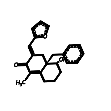 CC1=C2CCC[C@H](O)[C@@]2(Cc2ccccc2)C/C(=C\c2ccco2)C1=O